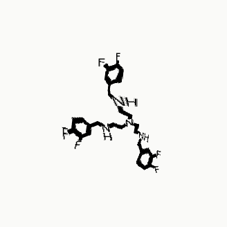 Fc1ccc(CNCCN(CCNCc2ccc(F)c(F)c2)CCNCc2ccc(F)c(F)c2)cc1F